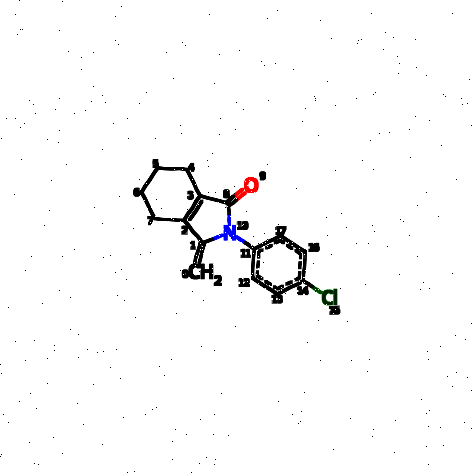 C=C1C2=C(CCCC2)C(=O)N1c1ccc(Cl)cc1